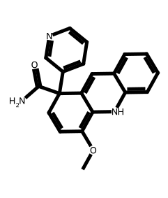 COC1=C2Nc3ccccc3C=C2C(C(N)=O)(c2cccnc2)C=C1